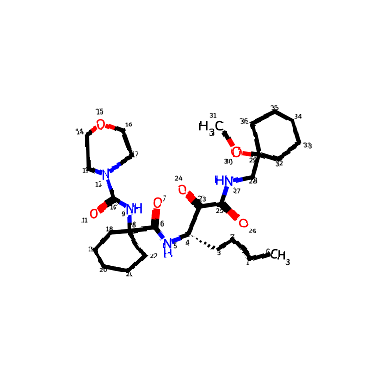 CCCC[C@H](NC(=O)C1(NC(=O)N2CCOCC2)CCCCC1)C(=O)C(=O)NCC1(OC)CCCCC1